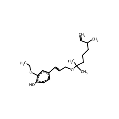 C=CC(C)CCCC(C)(C)OC/C=C/c1ccc(O)c(OCC)c1